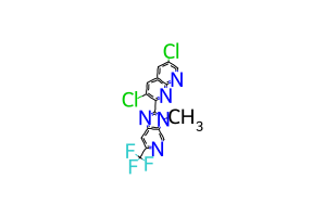 Cn1c(-c2nc3ncc(Cl)cc3cc2Cl)nc2cc(C(F)(F)F)ncc21